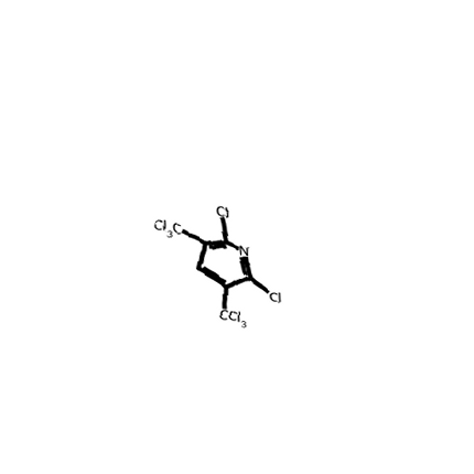 Clc1nc(Cl)c(C(Cl)(Cl)Cl)cc1C(Cl)(Cl)Cl